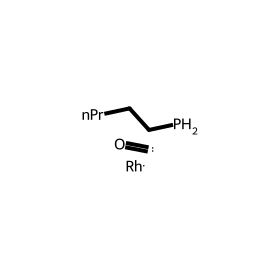 CCCCCP.[C]=O.[Rh]